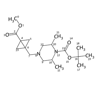 COC(=O)C12CC1(CN1CC(C)N(C(=O)OC(C)(C)C)C(C)C1)C2